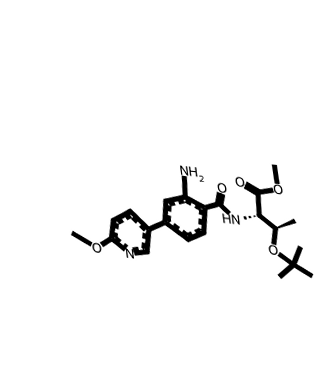 COC(=O)[C@@H](NC(=O)c1ccc(-c2ccc(OC)nc2)cc1N)[C@@H](C)OC(C)(C)C